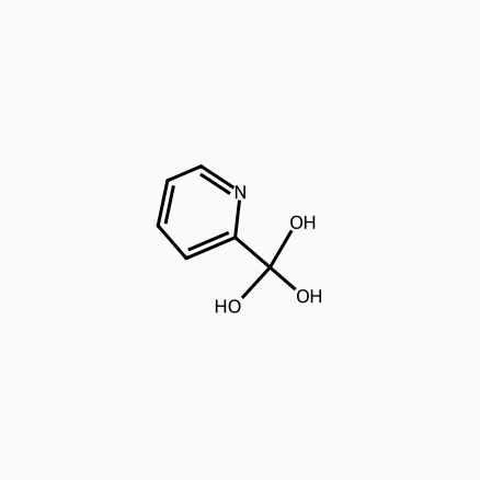 OC(O)(O)c1ccccn1